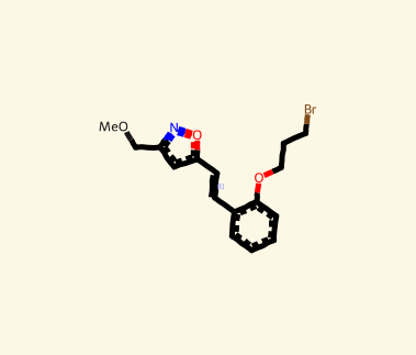 COCc1cc(/C=C/c2ccccc2OCCCBr)on1